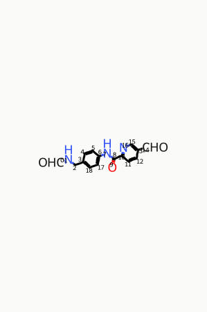 O=CNCc1ccc(NC(=O)c2ccc(C=O)cn2)cc1